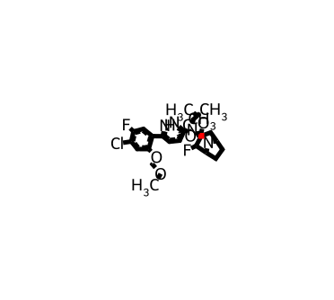 COCOc1cc(Cl)c(F)cc1-c1ccc(N(C)C2CC3CCC(C2F)N3C(=O)OC(C)(C)C)nn1